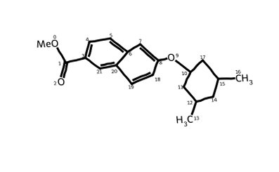 COC(=O)c1ccc2cc(OC3CC(C)CC(C)C3)ccc2c1